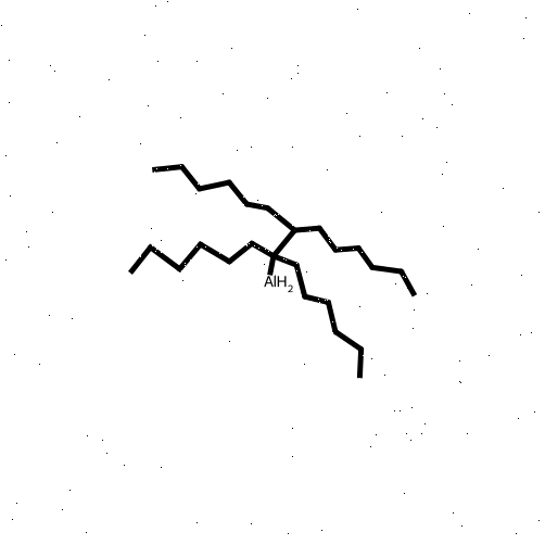 CCCCCCC(CCCCCC)[C]([AlH2])(CCCCCC)CCCCCC